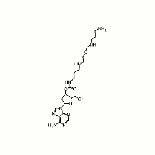 NCCCNCCCCNCCCNC(=O)OC1CC(n2cnc3c(N)ncnc32)OC1CO